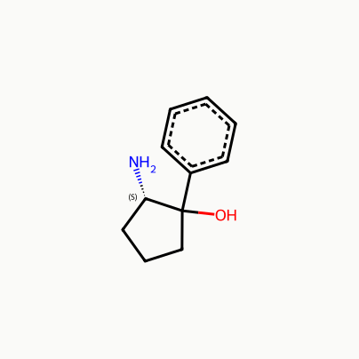 N[C@H]1CCCC1(O)c1ccccc1